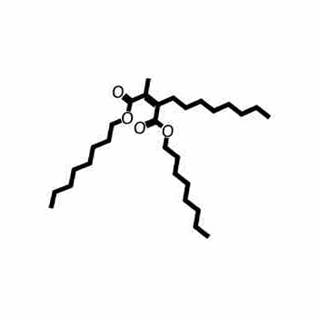 CCCCCCCCOC(=O)C(C)=C(CCCCCCCC)C(=O)OCCCCCCCC